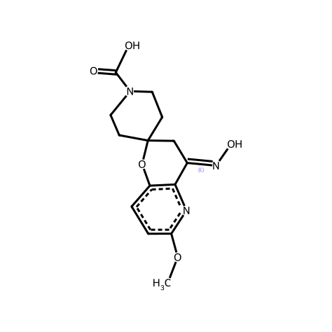 COc1ccc2c(n1)/C(=N/O)CC1(CCN(C(=O)O)CC1)O2